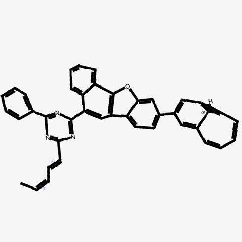 C/C=C\C=C\c1nc(-c2ccccc2)nc(-c2cc3c4ccc(C5=CC6=C7C=CC=CC(=C5)[C@@H]76)cc4oc3c3ccccc23)n1